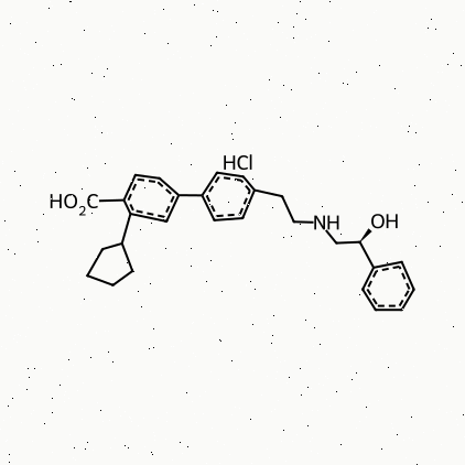 Cl.O=C(O)c1ccc(-c2ccc(CCNC[C@@H](O)c3ccccc3)cc2)cc1C1CCCC1